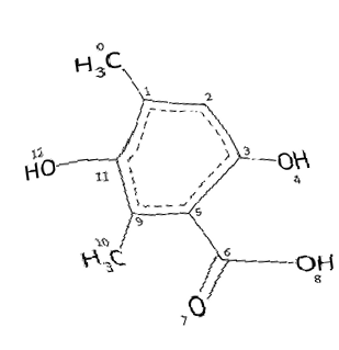 Cc1cc(O)c(C(=O)O)c(C)c1O